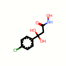 O=C(CC(O)(O)c1ccc(Cl)cc1)NO